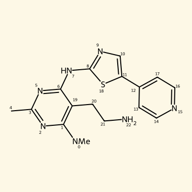 CNc1nc(C)nc(Nc2ncc(-c3ccncc3)s2)c1CCN